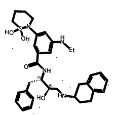 CCNc1cc(C(=O)N[C@@H](Cc2ccccc2)[C@H](O)CNC2CCc3ccccc3C2)cc(N2CCCCS2(O)O)c1